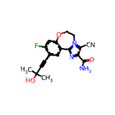 CC(C)(O)C#Cc1cc2c(cc1F)OCCn1c-2nc(C(N)=O)c1C#N